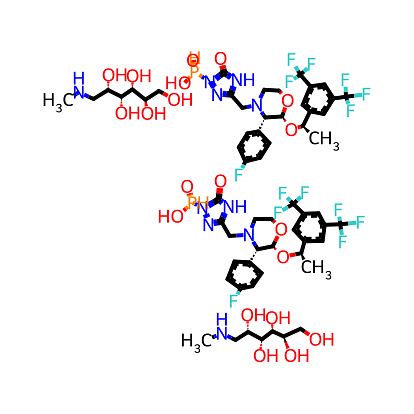 CNC[C@H](O)[C@@H](O)[C@H](O)[C@H](O)CO.CNC[C@H](O)[C@@H](O)[C@H](O)[C@H](O)CO.C[C@@H](O[C@H]1OCCN(Cc2nn([PH](=O)O)c(=O)[nH]2)[C@H]1c1ccc(F)cc1)c1cc(C(F)(F)F)cc(C(F)(F)F)c1.C[C@@H](O[C@H]1OCCN(Cc2nn([PH](=O)O)c(=O)[nH]2)[C@H]1c1ccc(F)cc1)c1cc(C(F)(F)F)cc(C(F)(F)F)c1